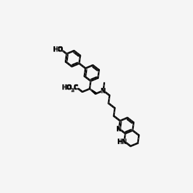 CN(CCCCc1ccc2c(n1)NCCC2)C[C@@H](CC(=O)O)c1cccc(-c2ccc(O)cc2)c1